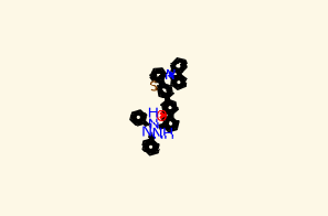 C1=CC2c3ccccc3N(c3cccc4sc5cc(-c6ccc7c(c6)oc6c(C8NC(c9ccccc9)=NC(c9ccccc9)N8)cccc67)ccc5c34)C2C=C1